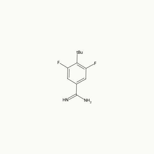 CC(C)(C)c1c(F)cc(C(=N)N)cc1F